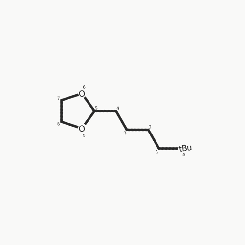 CC(C)(C)CCCCC1OCCO1